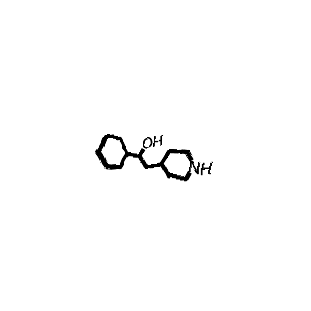 OC(CC1CCNCC1)C1CCCCC1